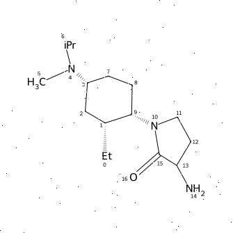 CC[C@@H]1C[C@H](N(C)C(C)C)CC[C@@H]1N1CCC(N)C1=O